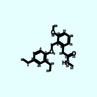 CCc1ccc(OCc2c(CC(=O)NC)cccc2OC)c(CC)c1